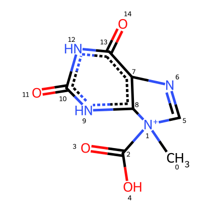 C[N+]1(C(=O)O)C=Nc2c1[nH]c(=O)[nH]c2=O